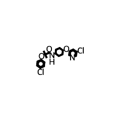 CC(C)(Oc1ccc(Cl)cc1)C(=O)N[C@H]1CC[C@H](Oc2cncc(Cl)c2)CC1